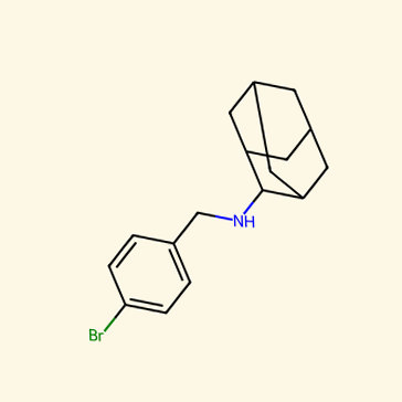 Brc1ccc(CNC2C3CC4CC(C3)CC2C4)cc1